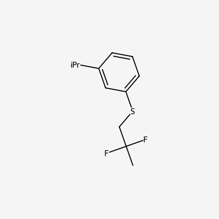 CC(C)c1cccc(SCC(C)(F)F)c1